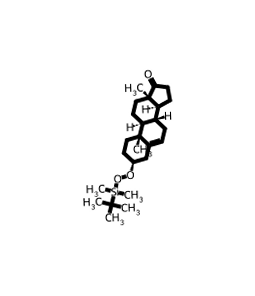 CC(C)(C)[Si](C)(C)OO[C@H]1CC[C@@]2(C)C(=CC[C@@H]3[C@@H]2CC[C@]2(C)C(=O)CC[C@@H]32)C1